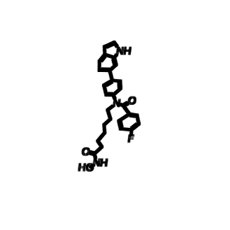 O=C(CCCCCCN(C(=O)c1ccc(F)cc1)c1ccc(-c2ccc3cc[nH]c3c2)cc1)NO